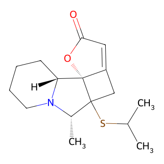 CC(C)SC12CC3=CC(=O)O[C@]31[C@H]1CCCCN1[C@H]2C